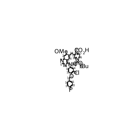 COc1cc2ncnc(Nc3ccc(OCc4ccc(F)cc4)c(Cl)c3)c2cc1CC1CN(C(=O)OC(C)(C)C)CCN1C(=O)O